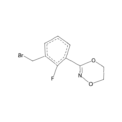 Fc1c(CBr)cccc1C1=NOCCO1